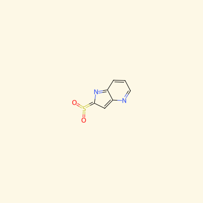 O=S(=O)=C1C=c2ncccc2=N1